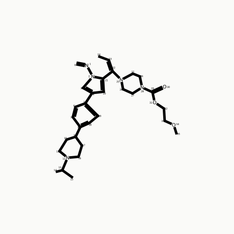 C=Nn1cc(-c2ccc(C3CCN(C(C)C)CC3)cc2)cc1/C(=C\C)N1CCN(C(=O)OCCOC)CC1